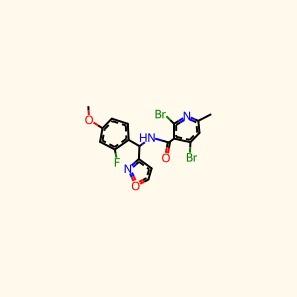 COc1ccc(C(NC(=O)c2c(Br)cc(C)nc2Br)c2ccon2)c(F)c1